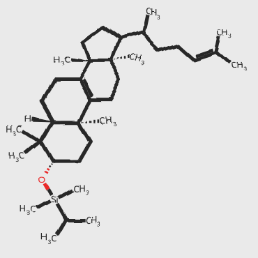 CC(C)=CCCC(C)C1CC[C@@]2(C)C3=C(CC[C@]12C)[C@@]1(C)CC[C@H](O[Si](C)(C)C(C)C)C(C)(C)[C@@H]1CC3